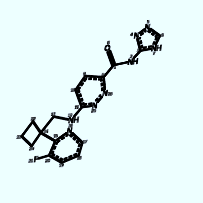 O=C(Nc1nnc[nH]1)c1ccc(NCC2(c3ncccc3F)CCC2)nn1